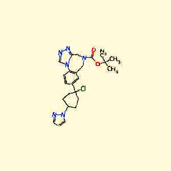 CC(C)(C)OC(=O)N1Cc2cc(C3(Cl)CCC(n4cccn4)CC3)ccc2-n2cnnc2C1